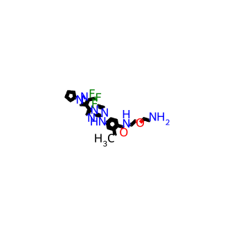 CCc1cc(Nc2nccn3c(-c4cn(C5CCCC5)nc4C(F)(F)F)cnc23)ccc1C(=O)NCCOCCN